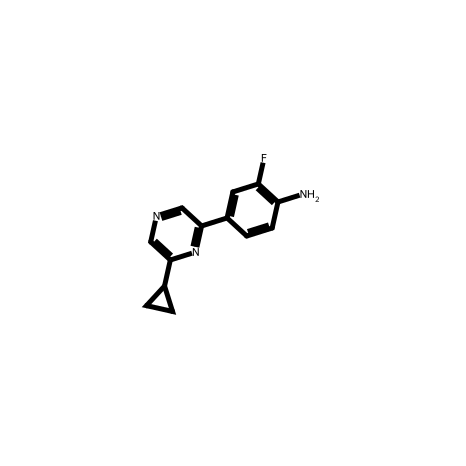 Nc1ccc(-c2cncc(C3CC3)n2)cc1F